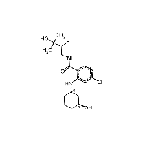 CC(C)(O)C(F)CNC(=O)c1cnc(Cl)cc1N[C@H]1CCC[C@H](O)C1